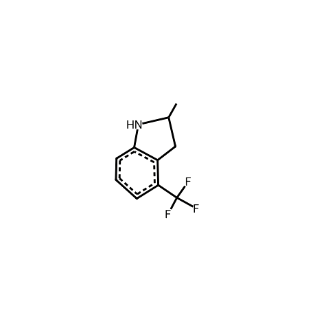 CC1Cc2c(cccc2C(F)(F)F)N1